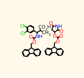 CC(C(=O)O)C(NC(=O)OCC1c2ccccc2-c2ccccc21)c1ccc(Cl)c(Cl)c1.O=C1CC(OC(=O)OCC2c3ccccc3-c3ccccc32)C(=O)N1